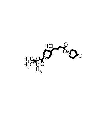 CC(C)(C)OC(=O)N1CCC(CCCC(=O)ON2CCC(=O)CC2)CC1.Cl